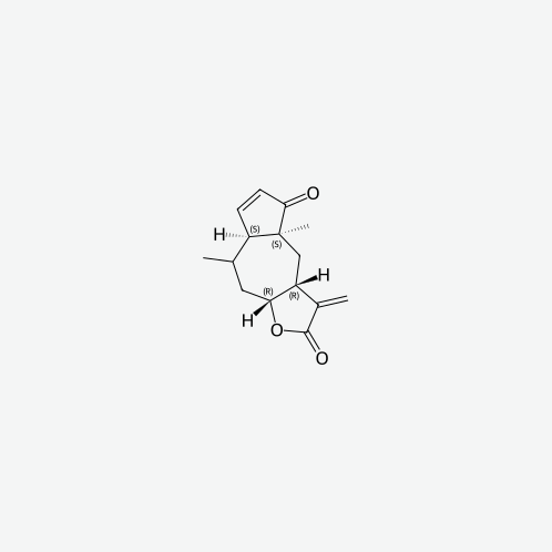 C=C1C(=O)O[C@@H]2CC(C)[C@H]3C=CC(=O)[C@@]3(C)C[C@H]12